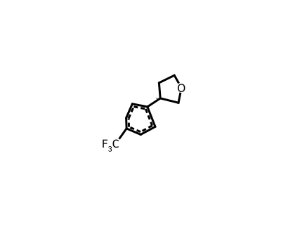 FC(F)(F)c1ccc([C]2CCOC2)cc1